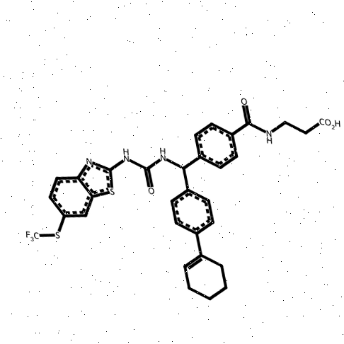 O=C(O)CCNC(=O)c1ccc(C(NC(=O)Nc2nc3ccc(SC(F)(F)F)cc3s2)c2ccc(C3=CCCCC3)cc2)cc1